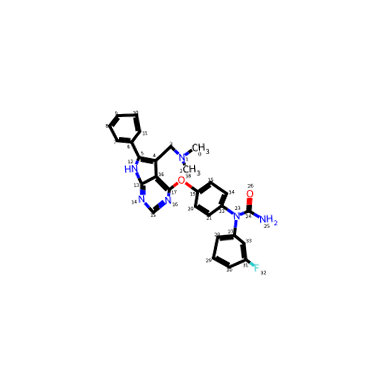 CN(C)Cc1c(-c2ccccc2)[nH]c2ncnc(Oc3ccc(N(C(N)=O)c4cccc(F)c4)cc3)c12